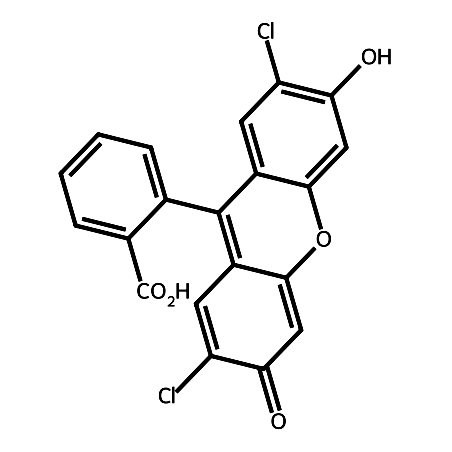 O=C(O)c1ccccc1-c1c2cc(Cl)c(=O)cc-2oc2cc(O)c(Cl)cc12